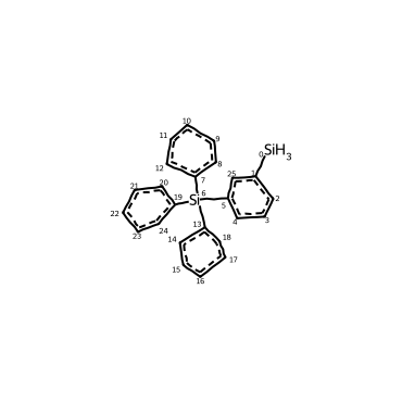 [SiH3]c1cccc([Si](c2ccccc2)(c2ccccc2)c2ccccc2)c1